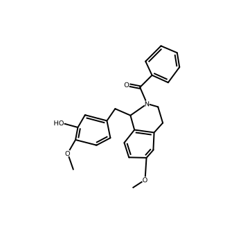 COc1ccc2c(c1)CCN(C(=O)c1ccccc1)C2Cc1ccc(OC)c(O)c1